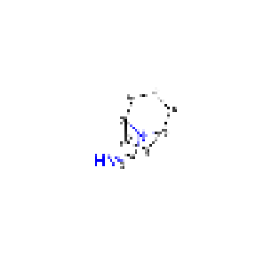 N=CN1C2C[CH]CC1CC2